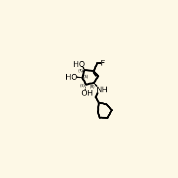 O[C@@H]1[C@@H](O)[C@@H](O)C(CF)=C[C@H]1NCC1CCCCC1